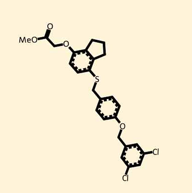 COC(=O)COc1ccc(SCc2ccc(OCc3cc(Cl)cc(Cl)c3)cc2)c2c1CCC2